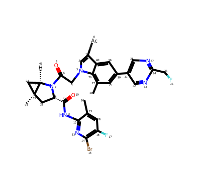 CC(=O)c1cn(CC(=O)N2[C@H](C(=O)Nc3nc(Br)c(F)cc3C)C[C@@]3(C)C[C@@H]23)c2c(C)cc(-c3cnc(CF)nc3)cc12